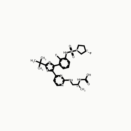 C[C@@H](CNc1nccc(-c2sc(C(C)(C)C)nc2-c2cccc(NS(=O)(=O)N3CC[C@H](F)C3)c2F)n1)NC(=O)O